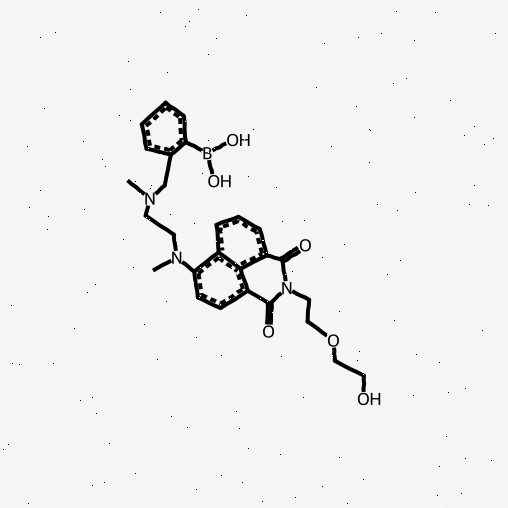 CN(CCN(C)c1ccc2c3c(cccc13)C(=O)N(CCOCCO)C2=O)Cc1ccccc1B(O)O